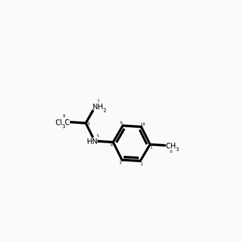 Cc1ccc(NC(N)C(Cl)(Cl)Cl)cc1